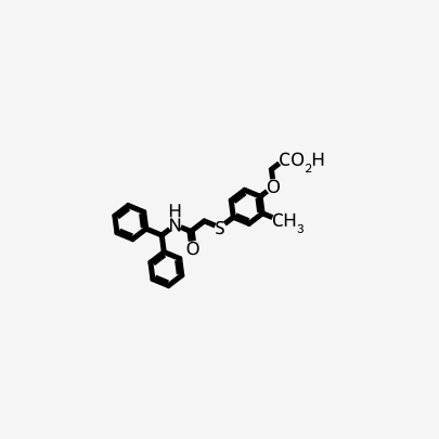 Cc1cc(SCC(=O)NC(c2ccccc2)c2ccccc2)ccc1OCC(=O)O